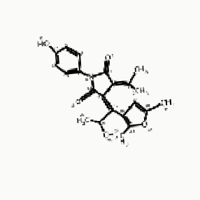 CC(C)=C1C(=O)N(c2ccc(O)cc2)C(=O)C1=C(c1cc(C)oc1C)C(C)C